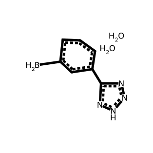 Bc1cccc(-c2nn[nH]n2)c1.O.O